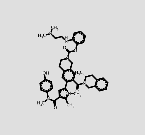 Cc1c(C(=O)N(C)c2ccc(O)cc2)cc(-c2cc3c(cc2C(=O)N2Cc4ccccc4C[C@H]2C)CN(C(=O)Oc2ccccc2NCCN(C)C)CC3)n1C